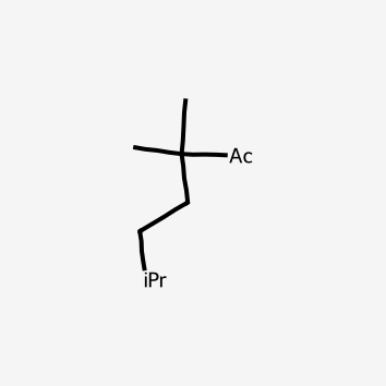 CC(=O)C(C)(C)CCC(C)C